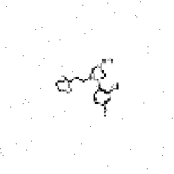 CCCN1CN(CCC2OCCO2)N(c2ccc(Cl)cc2Cl)C1